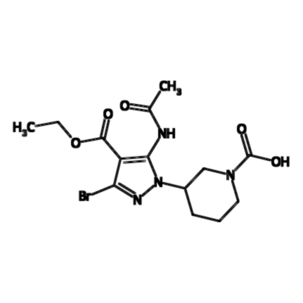 CCOC(=O)c1c(Br)nn(C2CCCN(C(=O)O)C2)c1NC(C)=O